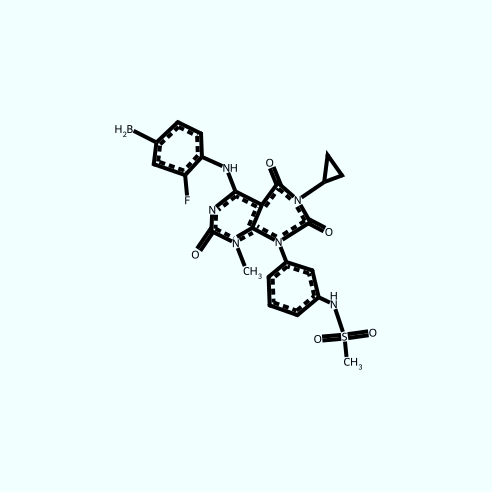 Bc1ccc(Nc2nc(=O)n(C)c3c2c(=O)n(C2CC2)c(=O)n3-c2cccc(NS(C)(=O)=O)c2)c(F)c1